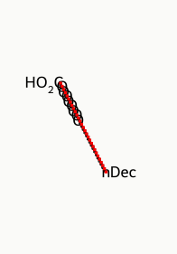 CCCCCCCCCCCCCCCCCCCCCCCCCCCCCCCCCCCCCCCCCCOCCOCCOCCOCCOCCOCCOCCOCCC(=O)O